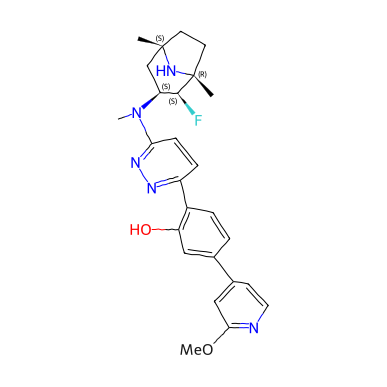 COc1cc(-c2ccc(-c3ccc(N(C)[C@H]4C[C@]5(C)CC[C@@](C)(N5)[C@H]4F)nn3)c(O)c2)ccn1